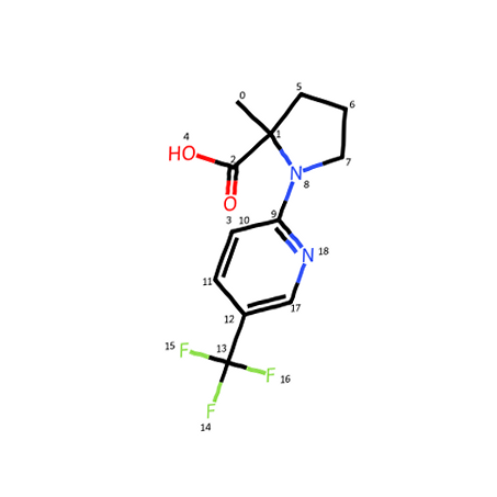 CC1(C(=O)O)CCCN1c1ccc(C(F)(F)F)cn1